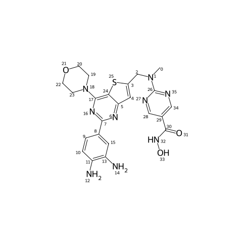 CN(Cc1cc2nc(-c3ccc(N)c(N)c3)nc(N3CCOCC3)c2s1)c1ncc(C(=O)NO)cn1